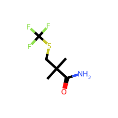 CC(C)(CSC(F)(F)F)C(N)=O